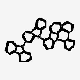 c1ccc(-c2ccccc2-n2c3ccccc3c3c(-n4c5ccccc5c5ccc(-n6c7ccccc7c7ccccc76)cc54)cccc32)cc1